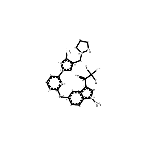 Cc1nn(-c2ccnc(Nc3ccc4c(c3)c(C(=O)C(F)(F)F)cn4C)n2)cc1CN1CCCO1